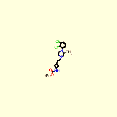 C[C@@H]1CN(CCC2CC(NC(=O)OC(C)(C)C)C2)CCN1c1cccc(Cl)c1Cl